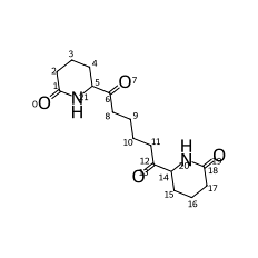 O=C1CCCC(C(=O)CCCCC(=O)C2CCCC(=O)N2)N1